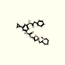 CN1CCCCC1C[n+]1cc([N-]C(=O)Nc2cc(NC(=O)Cc3ccccc3)cc(C3CC3)c2)on1